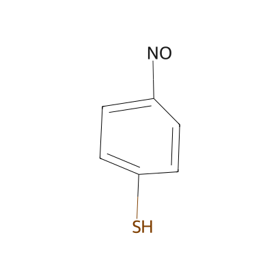 O=Nc1ccc(S)cc1